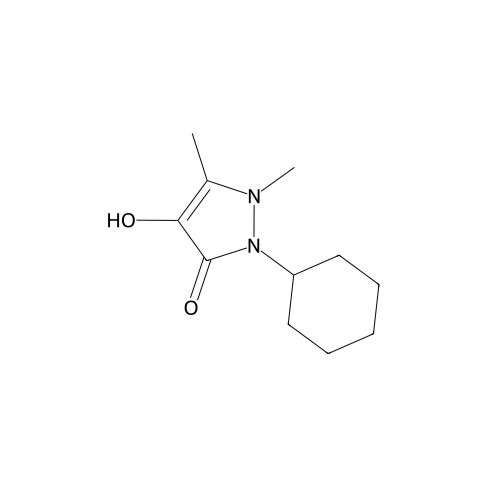 Cc1c(O)c(=O)n(C2CCCCC2)n1C